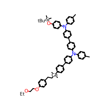 CCOCCOc1ccc(C[CH2][Ge]([CH3])([CH3])[c]2ccc(-c3ccc(N(c4ccc(C)cc4)c4ccc(-c5ccc(N(c6ccc(C)cc6)c6ccc(O[Si](C)(C)C(C)(C)C)cc6)cc5)cc4)cc3)cc2)cc1